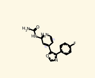 C=C(/C=C(\C=C/N)c1ocnc1-c1ccc(F)cc1)NC(N)=O